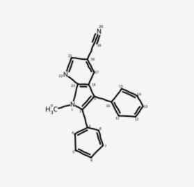 Cn1c(-c2ccccc2)c(-c2ccccc2)c2cc(C#N)cnc21